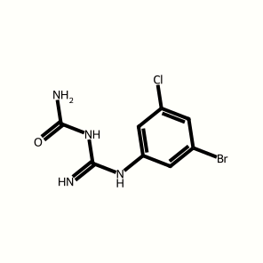 N=C(NC(N)=O)Nc1cc(Cl)cc(Br)c1